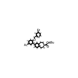 CCc1ccnc(COc2ccc(C(C)=O)cc2-c2ccc3c(c2)CCN(C(=O)OC(C)(C)C)CC3)c1